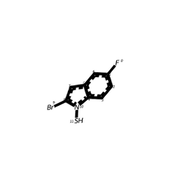 Fc1ccc2c(c1)cc(Br)n2S